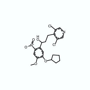 COc1cc([N+](=O)[O-])c(C(O)CCc2c(Cl)cncc2Cl)cc1OC1CCCC1